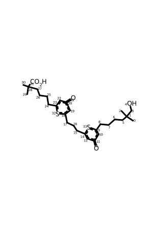 CC(C)(CO)CCCCc1cc(=O)cc(CCCc2cc(=O)cc(CCCCC(C)(C)C(=O)O)s2)s1